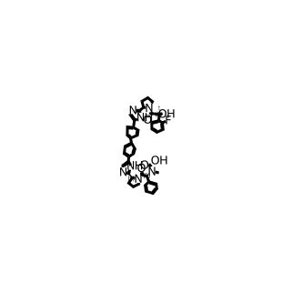 CN(C(=O)O)[C@@H](C(=O)N1CCC[C@H]1c1ncc(-c2ccc(-c3ccc(-c4cnc(C5CCCN5C(=O)[C@@](C)(O)c5ccccc5F)[nH]4)cc3)cc2)[nH]1)c1ccccc1